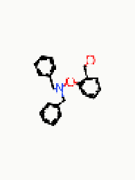 O=Cc1ccccc1ON(Cc1ccccc1)Cc1ccccc1